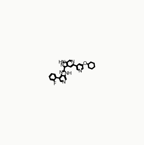 Fc1ccccc1-c1cncc2[nH]c(-c3n[nH]c4cnc(-c5cncc(OC6CCCCC6)c5)cc34)nc12